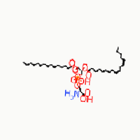 CCCC/C=C\C/C=C\CCCCCCCC(=O)O[C@H](COC(=O)CCCCCCCCCCCCCC)COP(=O)(O)OC[C@H](N)C(=O)O